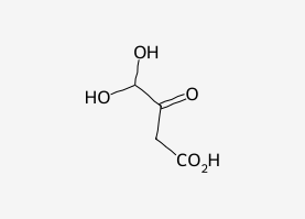 O=C(O)CC(=O)C(O)O